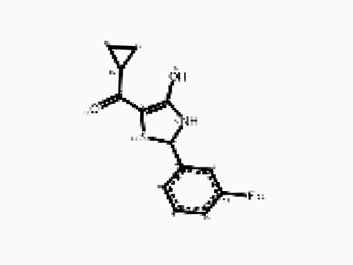 O=C(C1=C(O)NC(c2cccc(F)c2)S1)C1CC1